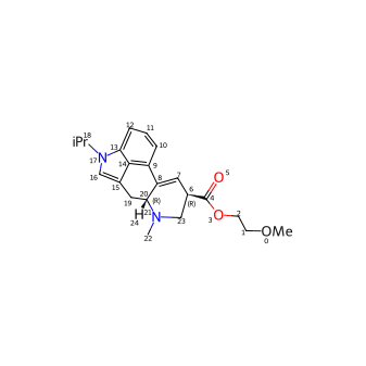 COCCOC(=O)[C@@H]1C=C2c3cccc4c3c(cn4C(C)C)C[C@H]2N(C)C1